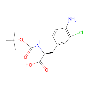 CC(C)(C)OC(=O)N[C@@H](Cc1ccc(N)c(Cl)c1)C(=O)O